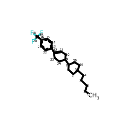 CCCCCC1CCC(C2CC=C(c3ccc(C(F)(F)F)cc3)CC2)CC1